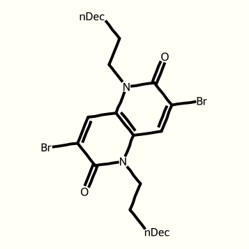 CCCCCCCCCCCCn1c(=O)c(Br)cc2c1cc(Br)c(=O)n2CCCCCCCCCCCC